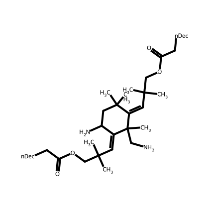 CCCCCCCCCCCC(=O)OCC(C)(C)C=C1C(N)CC(C)(C)C(=CC(C)(C)COC(=O)CCCCCCCCCCC)C1(C)CN